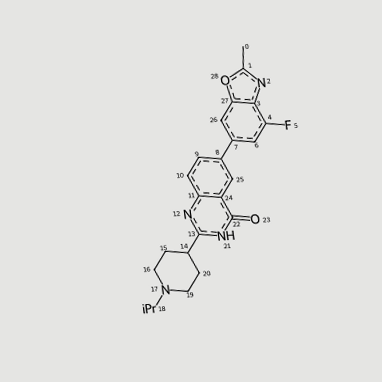 Cc1nc2c(F)cc(-c3ccc4nc(C5CCN(C(C)C)CC5)[nH]c(=O)c4c3)cc2o1